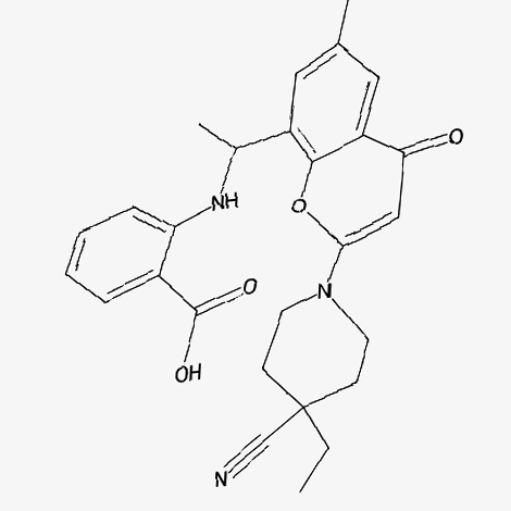 CCC1(C#N)CCN(c2cc(=O)c3cc(C)cc(C(C)Nc4ccccc4C(=O)O)c3o2)CC1